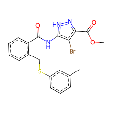 COC(=O)c1n[nH]c(NC(=O)c2ccccc2CSc2cccc(C)c2)c1Br